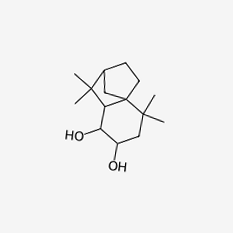 CC1(C)C2CCC3(C2)C1C(O)C(O)CC3(C)C